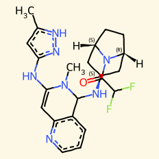 Cc1cc(NC2=Cc3ncccc3C(N[C@@H]3C[C@H]4CC[C@@H](C3)N4C(=O)C(F)F)N2C)n[nH]1